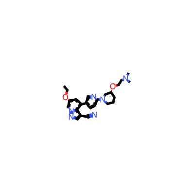 CCOc1cc(-c2ccc(N3CCC[C@@H](OCCN(C)C)C3)nc2)c2c(C#N)cnn2c1